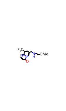 COCCNCc1cc(C(F)(F)F)c2nccc(=O)n2c1